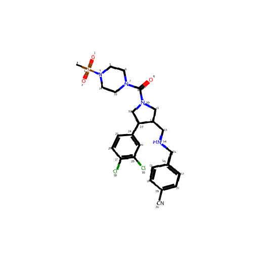 CS(=O)(=O)N1CCN(C(=O)N2CC(CNCc3ccc(C#N)cc3)C(c3ccc(Cl)c(Cl)c3)C2)CC1